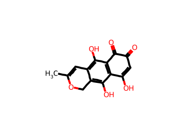 CC1=Cc2c(O)c3c(c(O)c2CO1)C(O)=CC(=O)C3=O